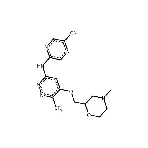 CN1CCOC(COc2cc(Nc3cnc(C#N)cn3)nnc2C(F)(F)F)C1